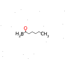 BC(=O)CCCCC